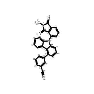 CN1C(=O)c2cccc(-n3c4ccccc4c4c(-c5cccc(C#N)c5)cccc43)c2C1=O